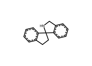 c1ccc2c(c1)CCC21NCc2ccccc21